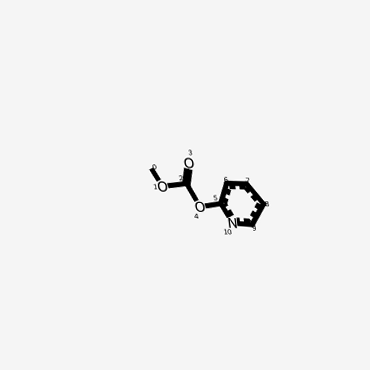 COC(=O)Oc1ccccn1